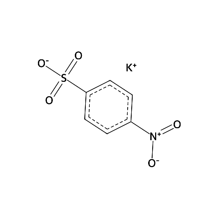 O=[N+]([O-])c1ccc(S(=O)(=O)[O-])cc1.[K+]